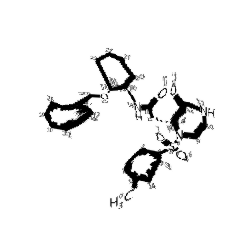 Cc1ccc(S(=O)(=O)N2C=CNC(=O)[C@H]2CC(=O)N[C@@H]2CCCC[C@H]2OCc2ccccc2)cc1